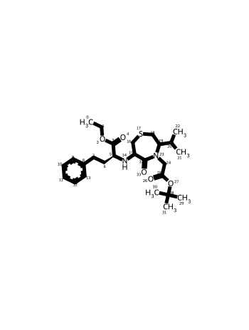 CCOC(=O)[C@H](CCc1ccccc1)NC1CSCC(C(C)C)N(CC(=O)OC(C)(C)C)C1=O